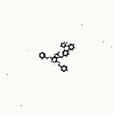 Cc1nc2c(SCc3ccccc3)nnc(SCc3ccccc3)c2n1Cc1ccc(-c2ccccc2-c2nnn[nH]2)cc1